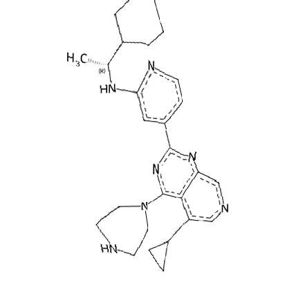 C[C@@H](Nc1cc(-c2nc(N3CCNCC3)c3c(C4CC4)cncc3n2)ccn1)C1CCCCC1